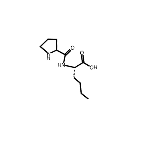 CCCC[C@H](NC(=O)C1CCCN1)C(=O)O